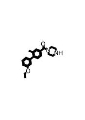 CCOc1cccc(-c2ccc(C(=O)N3CCNCC3)cc2C)c1